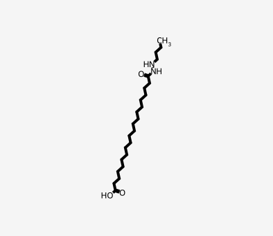 CCCCNNC(=O)CCCCCCCCCCCCCCCCCCC(=O)O